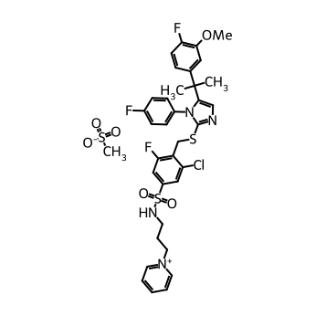 COc1cc(C(C)(C)c2cnc(SCc3c(F)cc(S(=O)(=O)NCCC[n+]4ccccc4)cc3Cl)n2-c2ccc(F)cc2)ccc1F.CS(=O)(=O)[O-]